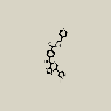 O=C(NCCc1ccncc1)c1ccc(Nc2ncc(-c3cn[nH]c3)n3ncnc23)cc1